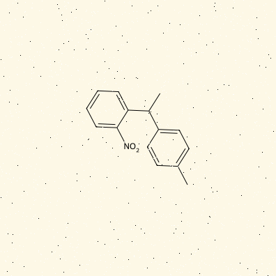 Cc1ccc(C(C)c2ccccc2[N+](=O)[O-])cc1